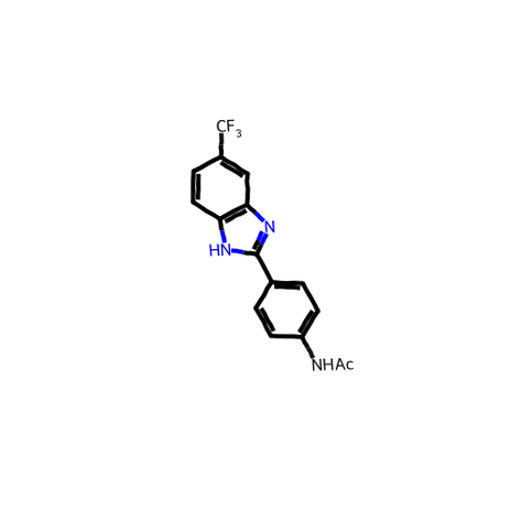 CC(=O)Nc1ccc(-c2nc3cc(C(F)(F)F)ccc3[nH]2)cc1